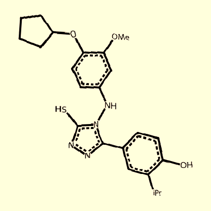 COc1cc(Nn2c(S)nnc2-c2ccc(O)c(C(C)C)c2)ccc1OC1CCCC1